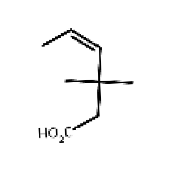 C/C=C\C(C)(C)CC(=O)O